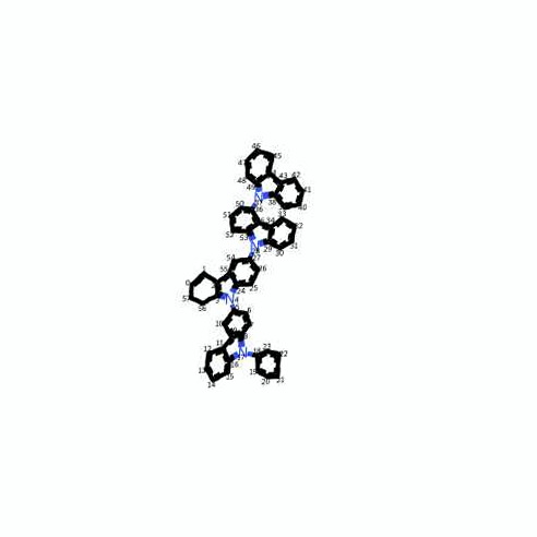 C1=Cc2c(n(-c3ccc4c(c3)c3ccccc3n4-c3ccccc3)c3ccc(-n4c5ccccc5c5c(-n6c7ccccc7c7ccccc76)cccc54)cc23)CC1